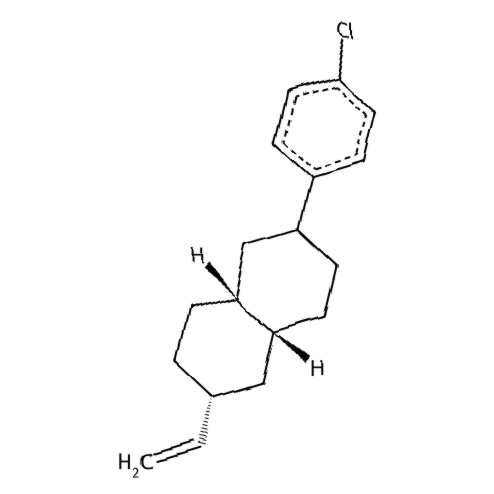 C=C[C@@H]1CC[C@@H]2CC(c3ccc(Cl)cc3)CC[C@@H]2C1